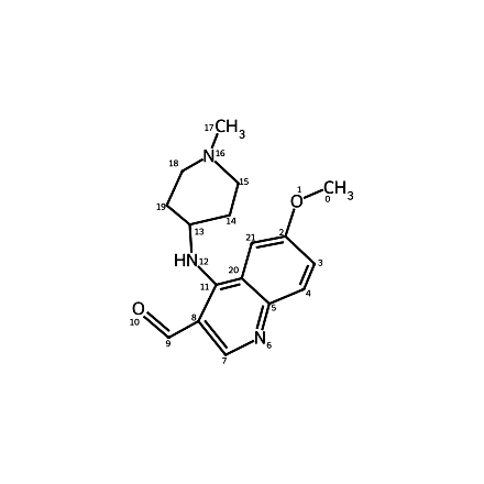 COc1ccc2ncc(C=O)c(NC3CCN(C)CC3)c2c1